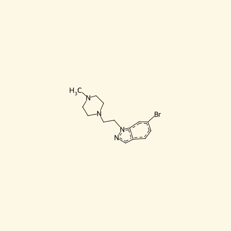 CN1CCN(CCn2ncc3ccc(Br)cc32)CC1